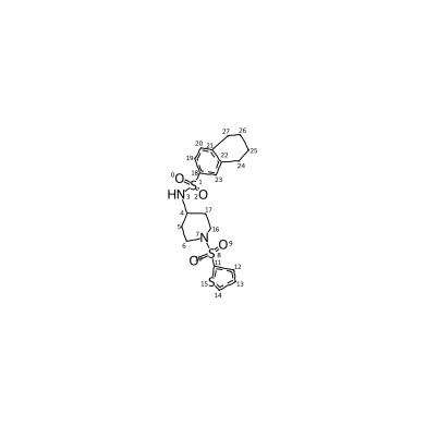 O=S(=O)(NC1CCN(S(=O)(=O)c2cccs2)CC1)c1ccc2c(c1)CCCC2